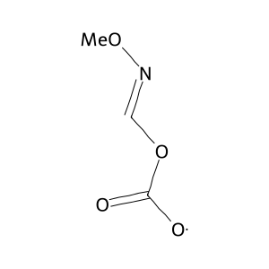 CON=COC([O])=O